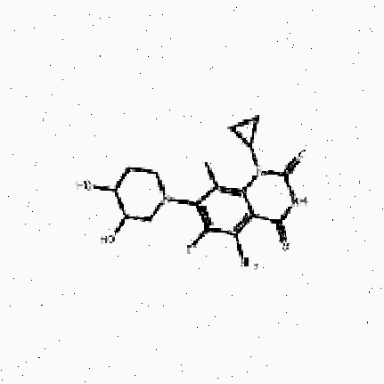 Cc1c(N2CCC(O)C(O)C2)c(F)c(N)c2c(=O)[nH]c(=O)n(C3CC3)c12